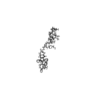 C[C@@H]1CN(CCCN2Cc3cc4c(cc3C2)C(=O)N(C2CCC(=O)NC2=O)C4=O)CC[C@@H]1Nc1nc2cnc(-c3cn[nH]c3)c(OC3CCC3)n2n1